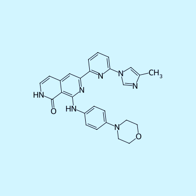 Cc1cn(-c2cccc(-c3cc4cc[nH]c(=O)c4c(Nc4ccc(N5CCOCC5)cc4)n3)n2)cn1